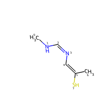 CN/C=N\C=C(/C)S